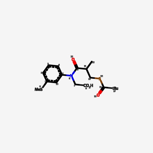 CSc1cccc(N(CC(=O)O)C(=O)C(C)CSC(=O)C(C)(C)C)c1